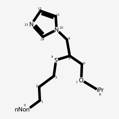 CCCCCCCCCCCCSC(COC(C)C)Cn1ccnc1